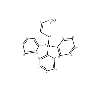 CCCCCCCC/C=C\C[PH](c1ccccc1)(c1ccccc1)c1ccccc1